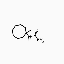 BC(=O)NC1(C)CCCCCCC1